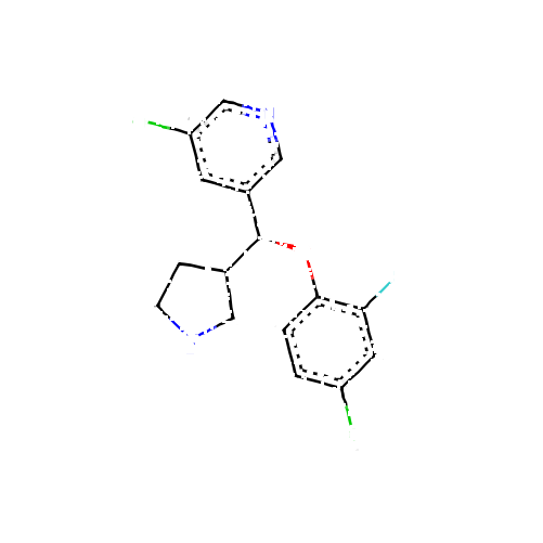 Fc1cc(Cl)ccc1O[C@H](c1cncc(Cl)c1)C1CCNC1